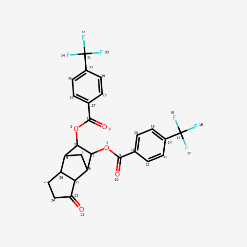 O=C(OC1C2CC(C1OC(=O)c1ccc(C(F)(F)F)cc1)C1C(=O)CCC21)c1ccc(C(F)(F)F)cc1